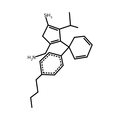 CCCCc1ccc(C2(C3=C(CN)CC([SiH3])=C3C(C)C)C=CC=CC2)cc1